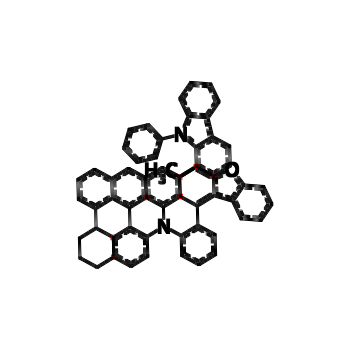 CC1C=c2oc3ccccc3c2=C(c2ccccc2N(c2cccc(-c3cccc4c5ccccc5n(-c5ccccc5)c34)c2)c2ccccc2-c2cccc3cccc(C4CCCCC4)c23)C1